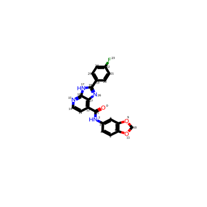 O=C(Nc1ccc2c(c1)OCO2)c1ccnc2[nH]c(-c3ccc(F)cc3)nc12